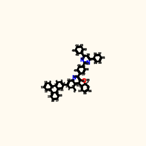 CC1CC(c2ccc3c4ccccc4c4ccccc4c3c2)=Cc2nc(-c3ccc(-c4nc(-c5ccccc5)cc(-c5ccccc5)n4)cc3)c3c(c21)C1=CC=CC[C@]1(C)O3